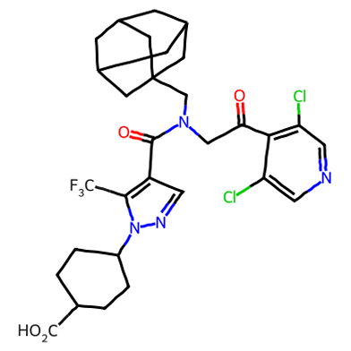 O=C(CN(CC12CC3CC(CC(C3)C1)C2)C(=O)c1cnn(C2CCC(C(=O)O)CC2)c1C(F)(F)F)c1c(Cl)cncc1Cl